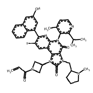 C=CC(=O)N1CC(n2c(=O)n(CC3CCCN3C)c3c(=O)n(-c4c(C)ccnc4C(C)C)c4nc(-c5cc(O)cc6ccccc56)c(F)cc4c32)C1